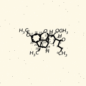 CCCC(=O)[C@H]1C[C@@]23CC[C@]1(OC)[C@@H]1Oc4cc(OC)cc5c4[C@@]12CCN(C)[C@@H]3C5